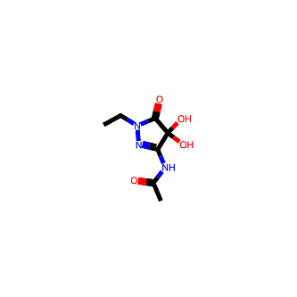 CCN1N=C(NC(C)=O)C(O)(O)C1=O